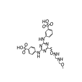 COCNCNOSc1nc(Nc2ccc(S(=O)(=O)O)cc2)nc(Nc2cccc(S(=O)(=O)O)c2)n1